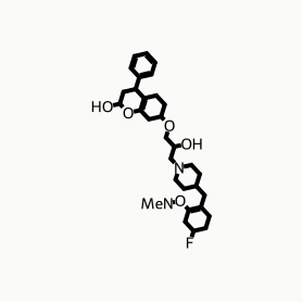 CNOC1=C(CC2CCN(CC(O)COC3CCC4=C(C3)OC(O)CC4c3ccccc3)CC2)CCC(F)C1